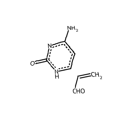 C=CC=O.Nc1cc[nH]c(=O)n1